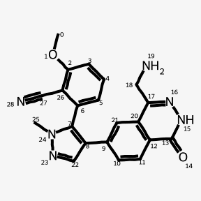 COc1cccc(-c2c(-c3ccc4c(=O)[nH]nc(CN)c4c3)cnn2C)c1C#N